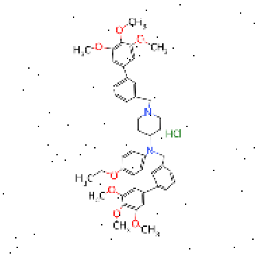 CCOc1ccc(N(Cc2cccc(-c3cc(OC)c(OC)c(OC)c3)c2)C2CCN(Cc3cccc(-c4cc(OC)c(OC)c(OC)c4)c3)CC2)cc1.Cl